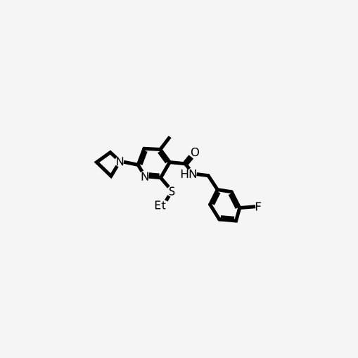 CCSc1nc(N2CCC2)cc(C)c1C(=O)NCc1cccc(F)c1